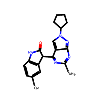 CNc1nc(C2C(=O)Nc3ccc(C#N)cc32)c2cn(C3CCCC3)nc2n1